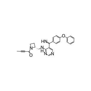 CC#CC(=O)N1CC[C@@H]1CNc1ncncc1C(=N)c1ccc(Oc2ccccc2)cc1